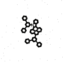 c1ccc(-c2cc(-c3ccccc3)cc(-c3cc4cccc5c4c4c3cccc4c3c5c4ccccc4n3-c3cc(-c4ccccc4)cc(-c4ccccc4)c3)c2)cc1